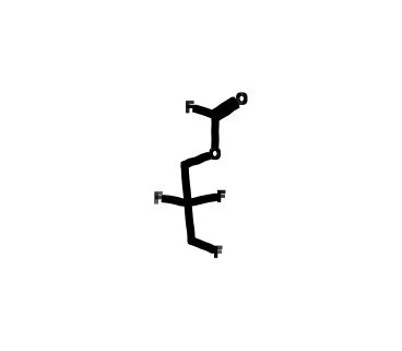 O=C(F)OCC(F)(F)CF